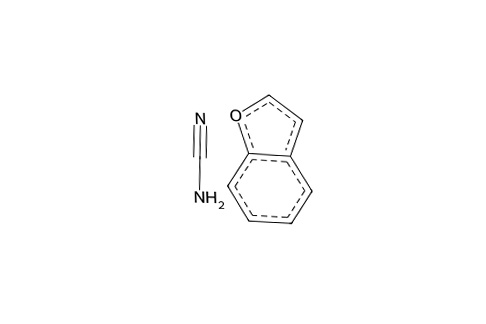 N#CN.c1ccc2occc2c1